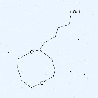 CCCCCCCCCCCCC1CCCCCCCCC1